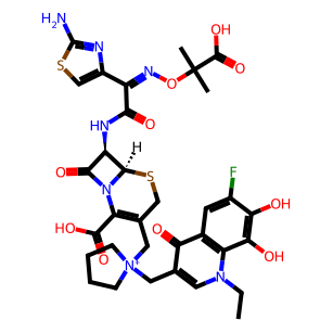 CCn1cc(C[N+]2(CC3=C(C(=O)O)N4C(=O)[C@@H](NC(=O)/C(=N\OC(C)(C)C(=O)O)c5csc(N)n5)[C@H]4SC3)CCCC2)c(=O)c2cc(F)c(O)c(O)c21